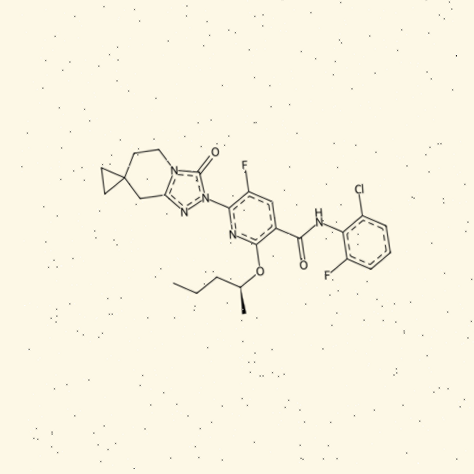 CCC[C@H](C)Oc1nc(-n2nc3n(c2=O)CCC2(CC2)C3)c(F)cc1C(=O)Nc1c(F)cccc1Cl